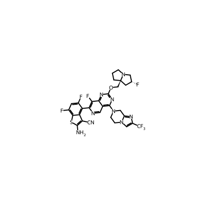 N#Cc1c(N)sc2c(F)cc(F)c(-c3ncc4c(N5CCn6cc(C(F)(F)F)nc6C5)nc(OC[C@@]56CCCN5C[C@H](F)C6)nc4c3F)c12